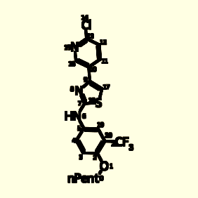 CCCCCOc1ccc(Nc2nc(-c3ccc(Cl)nc3)cs2)cc1C(F)(F)F